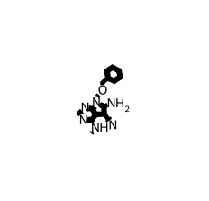 CNc1ncnc2c1c(C#N)c(N)n2COCc1ccccc1